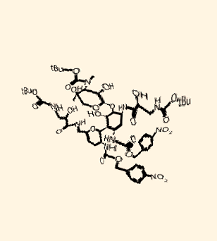 CN(C(=O)OC(C)(C)C)[C@@H]1[C@@H](O)[C@@H](O[C@@H]2[C@@H](O)[C@H](C3OC(CNC(=O)C(O)CNC(=O)OC(C)(C)C)=CC[C@H]3NC(=O)OCc3ccc([N+](=O)[O-])cc3)[C@@H](NC(=O)OCc3ccc([N+](=O)[O-])cc3)C[C@H]2NC(=O)[C@@H](O)CNC(=O)OC(C)(C)C)OC[C@]1(C)O